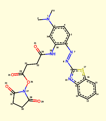 CN(C)c1ccc(N=Nc2nc3ccccc3s2)c(NC(=O)CCC(=O)ON2C(=O)CCC2=O)c1